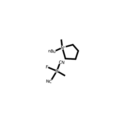 CCCC[N+]1(C)CCCC1.C[B-](F)(C#N)C#N